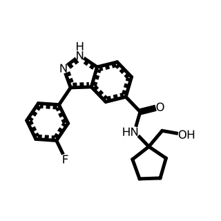 O=C(NC1(CO)CCCC1)c1ccc2[nH]nc(-c3cccc(F)c3)c2c1